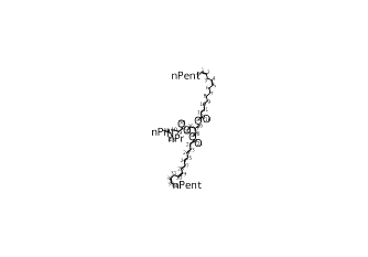 CCCCC/C=C\C/C=C\CCCCCCCC(=O)OCC(COC(=O)CCCCCCC/C=C\C/C=C\CCCCC)COC(=O)CCN(CCC)CCC